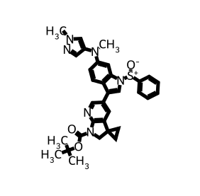 CN(c1ccc2c(-c3cnc4c(c3)C3(CC3)CN4C(=O)OC(C)(C)C)cn([S+]([O-])c3ccccc3)c2c1)c1cnn(C)c1